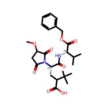 COC1CC(=O)N([C@@H](CC(C(=O)O)C(C)(C)C)C(=O)N[C@H](C(=O)OCc2ccccc2)C(C)C)C1=O